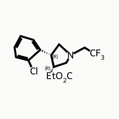 CCOC(=O)[C@H]1CN(CC(F)(F)F)C[C@H]1c1ccccc1Cl